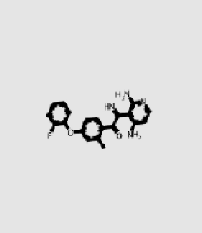 Cc1cc(Oc2ccccc2F)ccc1C(=O)C(=N)c1c(N)ccnc1N